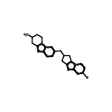 CN1CCn2c(nc3ccc(CN4Cc5nc6cc(Cl)ccn6c5C4)cc32)C1